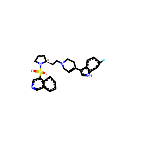 O=S(=O)(c1cncc2ccccc12)N1CCC[C@H]1CCN1CC=C(c2c[nH]c3cc(F)ccc23)CC1